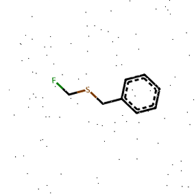 FCSCc1ccccc1